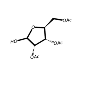 CC(=O)OC[C@@H]1OC(O)[C@@H](OC(C)=O)[C@H]1OC(C)=O